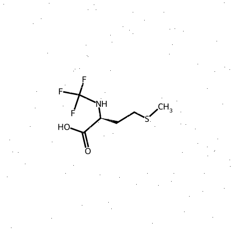 CSCC[C@H](NC(F)(F)F)C(=O)O